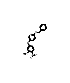 CNc1cc(Oc2ccc(OCc3ccccc3)nc2)ccc1[N+](=O)[O-]